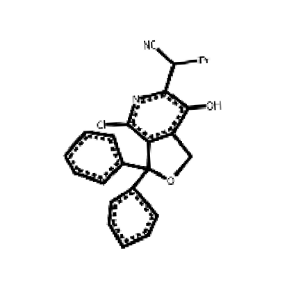 CC(C)C(C#N)c1nc(Cl)c2c(c1O)COC2(c1ccccc1)c1ccccc1